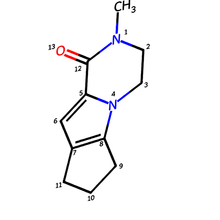 CN1CCn2c(cc3c2CCC3)C1=O